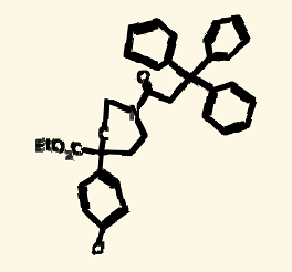 CCOC(=O)C1(c2ccc(Cl)cc2)CCN(C(=O)CC(c2ccccc2)(c2ccccc2)c2ccccc2)CC1